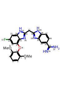 COc1cccc(OC)c1Oc1cc(F)cc2[nH]c(Cc3nc4cc(C(=N)N)ccc4[nH]3)nc12